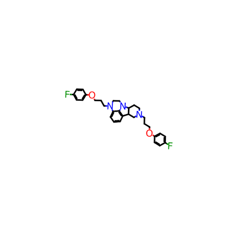 Fc1ccc(OCCCN2CCC3C(C2)c2cccc4c2N3CCN4CCCOc2ccc(F)cc2)cc1